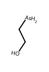 OCC[AsH2]